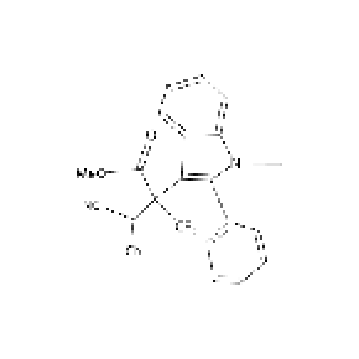 COC(=O)C(c1c(-c2ccccc2)n(C)c2ccccc12)(C(C#N)C#N)C(F)(F)F